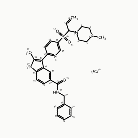 C=CC(N1CCN(C)CC1)S(=O)(=O)c1ccc(-c2c(O)[nH]c3ccc(C(=O)NCc4ccccc4)cc23)nc1.Cl